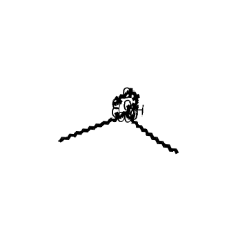 CCCCCCCCCCCCCCCCCC(=O)OCC(OC(=O)CCCCCCCCCCCCCCCCC)C(=O)NC(C)(C)CC(C)(C)CC(C)(C)OCCC(C)(C)OC